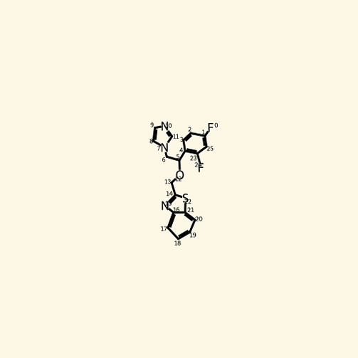 Fc1ccc(C(Cn2ccnc2)OCc2nc3ccccc3s2)c(F)c1